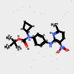 Cc1ccc([N+](=O)[O-])c(Nc2ccc(N(C(=O)OC(C)(C)C)C3CCC3)cc2)n1